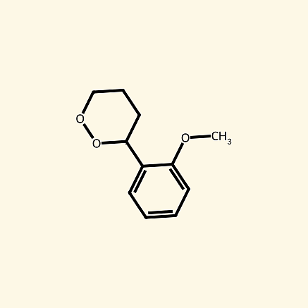 COc1ccccc1[C]1CCCOO1